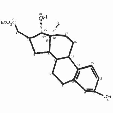 CCOC(=O)CC1CC2C3CCc4cc(O)ccc4C3CC[C@]2(C)[C@H]1O